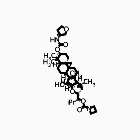 CC(C)[C@@H](OC(=O)N1CCC1)[C@H]1C[C@@H](C)[C@H]2[C@H](O1)[C@H](O)[C@@]1(C)[C@@H]3CC[C@H]4C(C)(C)[C@@H](OC(=O)N[C@H]5CCOC5)CC[C@@]45C[C@@]35CC[C@]21C